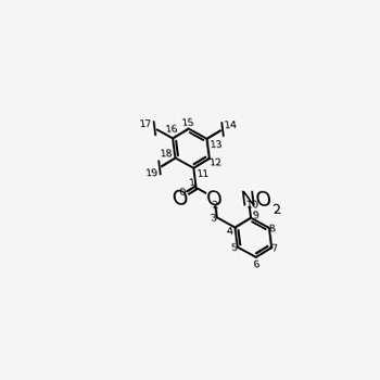 O=C(OCc1ccccc1[N+](=O)[O-])c1cc(I)cc(I)c1I